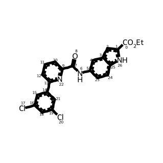 CCOC(=O)c1cc2cc(NC(=O)c3cccc(-c4cc(Cl)cc(Cl)c4)n3)ccc2[nH]1